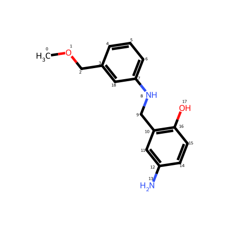 COCc1cccc(NCc2cc(N)ccc2O)c1